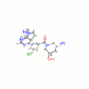 Cl.N[C@@H]1C[C@@H](O)CN(C(=O)C2=CN(c3ncnc4[nH]ccc34)CCS2)C1